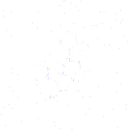 CC(C)c1cnn2c(N(c3ccccc3)N(S(C)(=O)=O)S(C)(=O)=O)cc(Cl)nc12